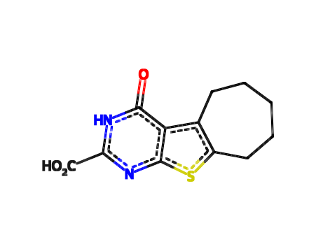 O=C(O)c1nc2sc3c(c2c(=O)[nH]1)CCCCC3